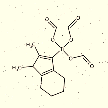 CC1=[C]([Ti]([O]C=O)([O]C=O)[O]C=O)C2=C(CCCC2)C1C